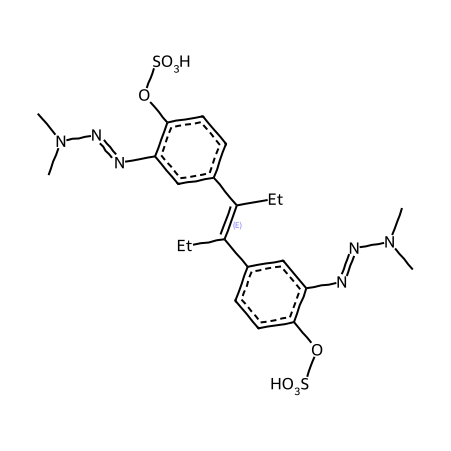 CC/C(=C(/CC)c1ccc(OS(=O)(=O)O)c(N=NN(C)C)c1)c1ccc(OS(=O)(=O)O)c(N=NN(C)C)c1